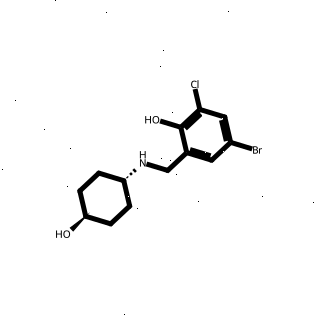 Oc1c(Cl)cc(Br)cc1CN[C@H]1CC[C@H](O)CC1